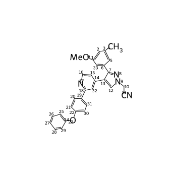 COc1cc(C)cc(-c2nn(CC#N)cc2-c2ccnc(-c3ccc(Oc4ccccc4)cc3)c2)c1